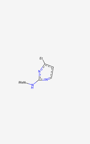 CCc1ccnc(NNC)n1